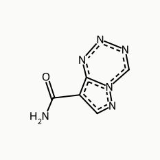 NC(=O)c1cnn2cnnnc12